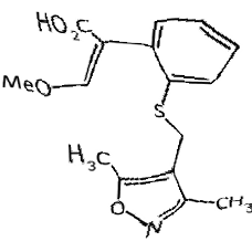 COC=C(C(=O)O)c1ccccc1SCc1c(C)noc1C